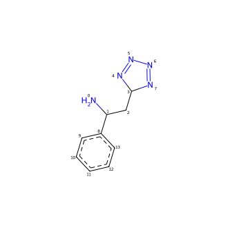 NC(CC1N=NN=N1)c1ccccc1